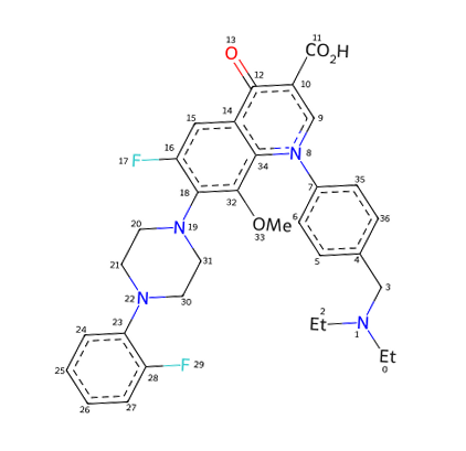 CCN(CC)Cc1ccc(-n2cc(C(=O)O)c(=O)c3cc(F)c(N4CCN(c5ccccc5F)CC4)c(OC)c32)cc1